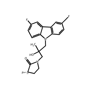 CC(O)(CN1CC[C@H](F)C1=O)Cn1c2ccc(F)cc2c2cc(F)ccc21